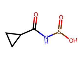 O=C(NS(=O)O)C1CC1